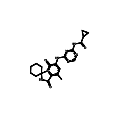 Cc1cc(Nc2ncnc(NC(=O)C3CC3)n2)c(=O)n2c1C(=O)NC21CCCCC1